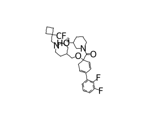 O=C(N1CCCC(O)C1)C1(OCC2CCN(CC3(C(F)(F)F)CCC3)CC2)C=CC(c2cccc(F)c2F)=CC1